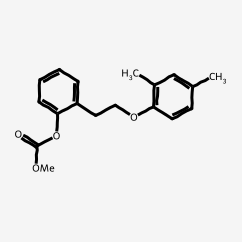 COC(=O)Oc1ccccc1CCOc1ccc(C)cc1C